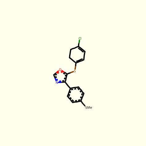 CSc1ccc(-c2ncoc2SC2=CC=C(Cl)CC2)cc1